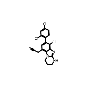 N#CCc1cc(-c2ccc(Cl)cc2Cl)c(Cl)c2nc3n(c12)CCCN3